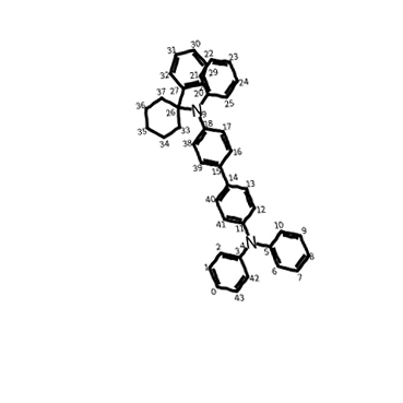 c1ccc(N(c2ccccc2)c2ccc(-c3ccc(N(c4ccccc4)C4(c5ccccc5)CCCCC4)cc3)cc2)cc1